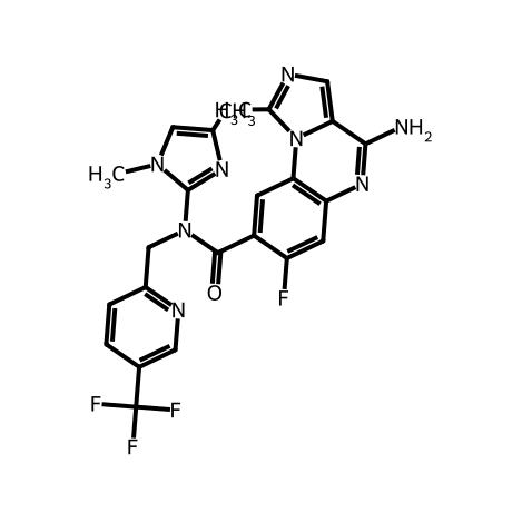 Cc1cn(C)c(N(Cc2ccc(C(F)(F)F)cn2)C(=O)c2cc3c(cc2F)nc(N)c2cnc(C)n23)n1